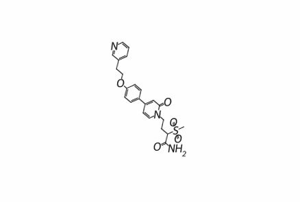 CS(=O)(=O)C(CCn1ccc(-c2ccc(OCCc3cccnc3)cc2)cc1=O)C(N)=O